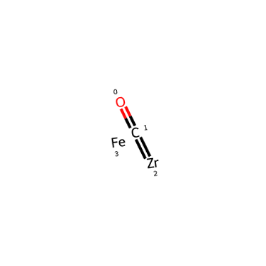 O=[C]=[Zr].[Fe]